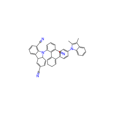 Cc1c(C)n(-c2ccc(C3=CCCC=C3c3c(C#N)cccc3N3c4c(C#N)cccc4C4C=C(C#N)C=CC43)cc2)c2ccccc12